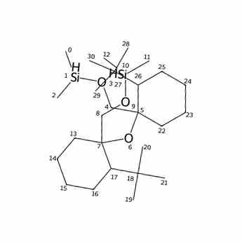 C[SiH](C)OCC1(OC2(CO[SiH](C)C)CCCCC2C(C)(C)C)CCCCC1C(C)(C)C